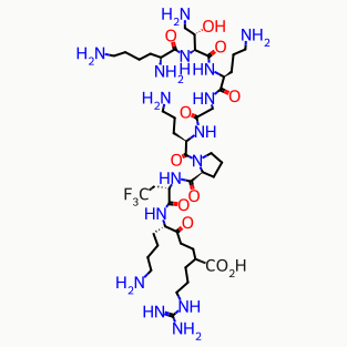 N=C(N)NCCCC(CCC(=O)[C@H](CCCCN)NC(=O)[C@H](CC(F)(F)F)NC(=O)[C@@H]1CCCN1C(=O)[C@@H](CCCN)NC(=O)CNC(=O)[C@H](CCCN)NC(=O)[C@@H](NC(=O)[C@@H](N)CCCCN)[C@@H](O)CN)C(=O)O